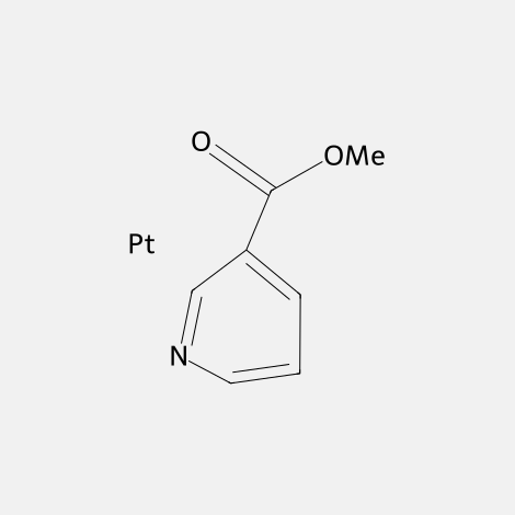 COC(=O)c1cccnc1.[Pt]